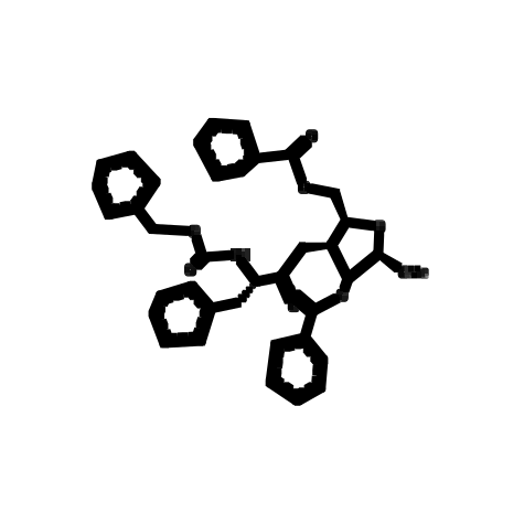 CO[C@@H]1O[C@H](COC(=O)c2ccccc2)[C@H](CC(=O)[C@H](Cc2ccccc2)NC(=O)OCc2ccccc2)C1OC(=O)c1ccccc1